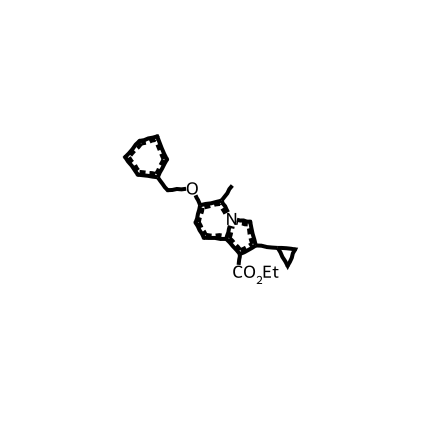 CCOC(=O)c1c(C2CC2)cn2c(C)c(OCc3ccccc3)ccc12